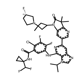 CC(C)n1cnc2cc(-c3cnc4c(c3)N(C3CC(C)(N5CC[C@H](F)C5)C3)C(=O)C4(C)C)nc(Nc3cc(C(=O)NC4(C(F)F)CC4)c(Cl)c(F)c3F)c21